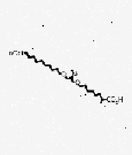 CCCCCCCCC=CCCCCCCCCOCC(COCCCCCCC(C)C(=O)O)N(C)C